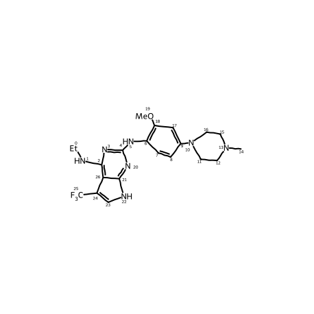 CCNc1nc(Nc2ccc(N3CCN(C)CC3)cc2OC)nc2[nH]cc(C(F)(F)F)c12